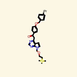 CC(C)c1ccc(COc2ccc(C(=O)Cc3ncnc4c3ccn4COCCS(C)(C)C)cc2)cc1